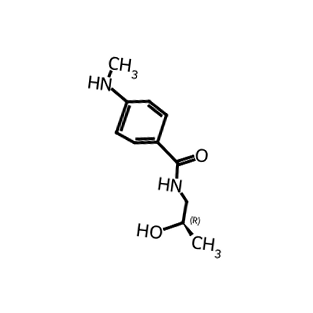 CNc1ccc(C(=O)NC[C@@H](C)O)cc1